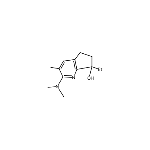 CCC1(O)CCc2cc(C)c(N(C)C)nc21